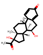 CC(=O)[C@@]1(O)CC[C@H]2[C@@H]3[C@H](O)CC4=CC(=O)C=C[C@]4(C)[C@H]3CC[C@@]21C